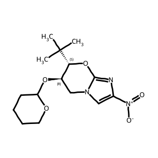 CC(C)(C)[C@@H]1Oc2nc([N+](=O)[O-])cn2C[C@H]1OC1CCCCO1